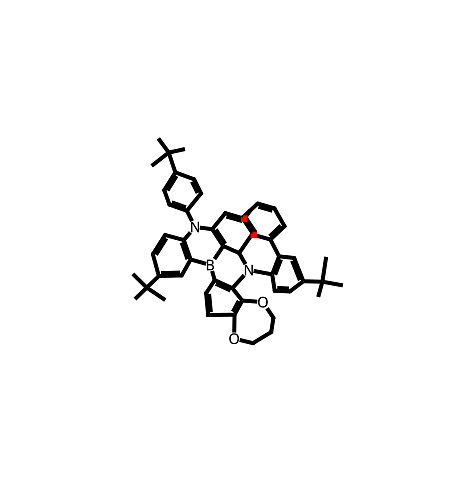 CC1=CC2=C3B(c4cc(C(C)(C)C)ccc4N2c2ccc(C(C)(C)C)cc2)c2ccc4c(c2N(c2ccc(C(C)(C)C)cc2-c2ccccc2)C3C1)OCCCO4